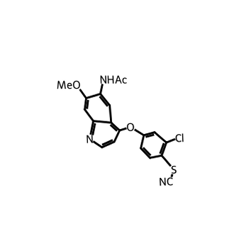 COc1cc2nccc(Oc3ccc(SC#N)c(Cl)c3)c2cc1NC(C)=O